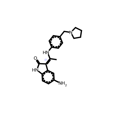 C/C(Nc1ccc(CN2CCCC2)cc1)=C1/C(=O)Nc2ccc(N)cc21